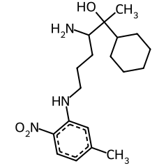 Cc1ccc([N+](=O)[O-])c(NCCCC(N)C(C)(O)C2CCCCC2)c1